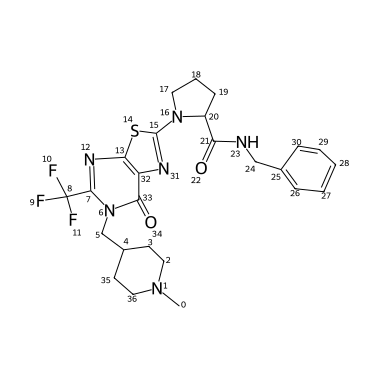 CN1CCC(Cn2c(C(F)(F)F)nc3sc(N4CCCC4C(=O)NCc4ccccc4)nc3c2=O)CC1